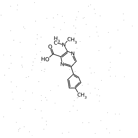 Cc1ccc(-c2cnc(N(C)C)c(C(=O)O)n2)cc1